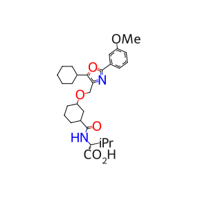 COc1cccc(-c2nc(COC3CCCC(C(=O)N[C@H](C(=O)O)C(C)C)C3)c(C3CCCCC3)o2)c1